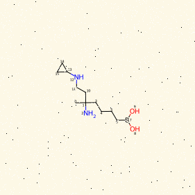 CC(N)(CCCCB(O)O)CCNC1CC1